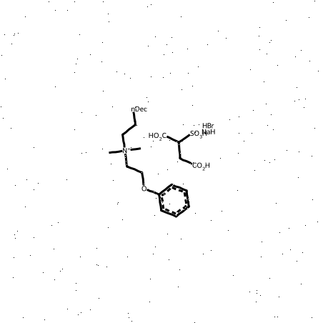 Br.CCCCCCCCCCCC[N+](C)(C)CCOc1ccccc1.O=C(O)CC(C(=O)O)S(=O)(=O)O.[NaH]